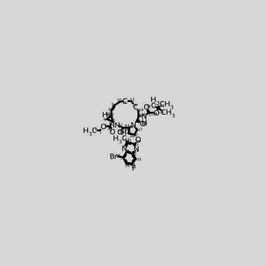 CCOC(=O)[C@@]12C[C@H]1C=CCCCCC[C@H](NC(=O)OC(C)(C)C)C(=O)N1C[C@H](Oc3nc4cc(F)cc(Br)c4nc3C)C[C@H]1C(=O)N2